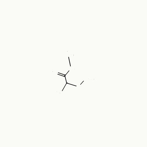 CCCCCOC(C(=O)OCCCC)C(F)(F)F